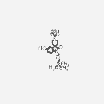 CC(C)(C)OC(=O)N1CCC2(CC1)C(=O)N(COCC[Si](C)(C)C)c1ccc(O)cc12